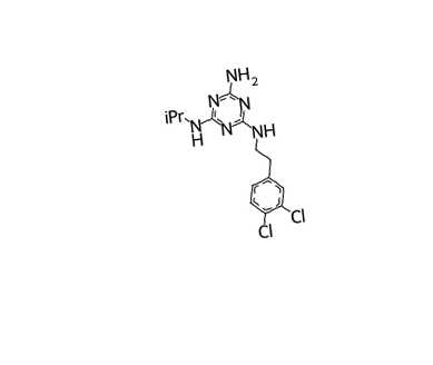 CC(C)Nc1nc(N)nc(NCCc2ccc(Cl)c(Cl)c2)n1